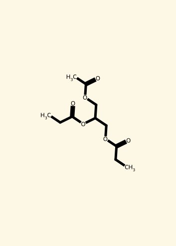 CCC(=O)OCC(COC(C)=O)OC(=O)CC